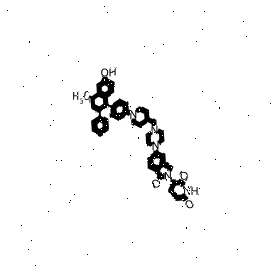 C[C@@H]1C[C@H](c2ccccc2)[C@H](c2ccc(N3CCC(CN4CCN(c5ccc6c(c5)CN([C@H]5CCC(=O)NC5=O)C6=O)CC4)CC3)cc2)c2ccc(O)cc21